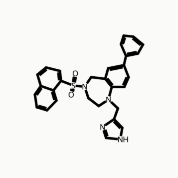 O=S(=O)(c1cccc2ccccc12)N1CCN(Cc2c[nH]cn2)c2ccc(-c3ccccc3)cc2C1